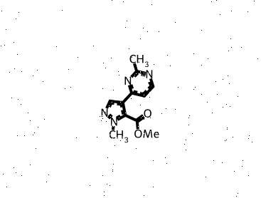 COC(=O)c1c(-c2ccnc(C)n2)cnn1C